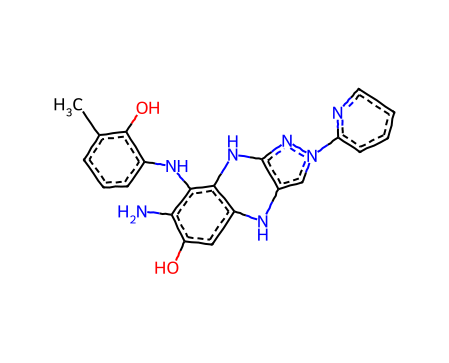 Cc1cccc(Nc2c(N)c(O)cc3c2Nc2nn(-c4ccccn4)cc2N3)c1O